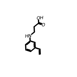 C=Cc1cccc(NCCC(=O)O)c1